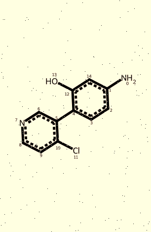 Nc1ccc(-c2cnccc2Cl)c(O)c1